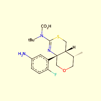 C[C@@H]1COC[C@]2(c3cc(N)ccc3F)N=C(N(C(=O)O)C(C)(C)C)SC[C@H]12